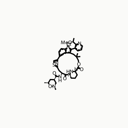 CCn1c(-c2cccnc2[C@H](C)OC)c2c3cc(ccc31)-c1csc(n1)C[C@H](NC(=O)[C@@H]1C[C@H](C)ON(C)C1)C(=O)N1CCC[C@H](N1)C(=O)OCC(C)(C)C2